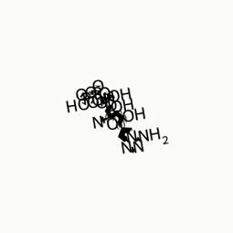 N#C[C@]1(COP(=O)(O)OP(=O)(O)OP(=O)(O)O)O[C@@H](c2cc3ncnc(N)n3c2)[C@H](O)[C@@H]1O